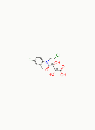 Cc1cc(F)ccc1N(CCCl)C(=O)[C@H](O)[C@@H](O)C(=O)O